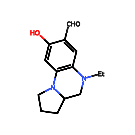 CCN1CC2CCCN2c2cc(O)c(C=O)cc21